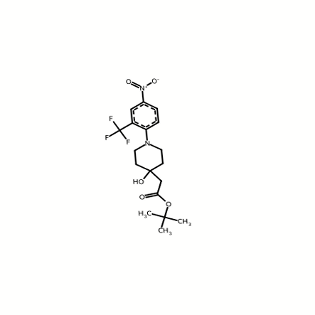 CC(C)(C)OC(=O)CC1(O)CCN(c2ccc([N+](=O)[O-])cc2C(F)(F)F)CC1